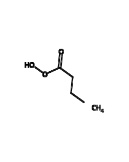 C.CCCC(=O)OO